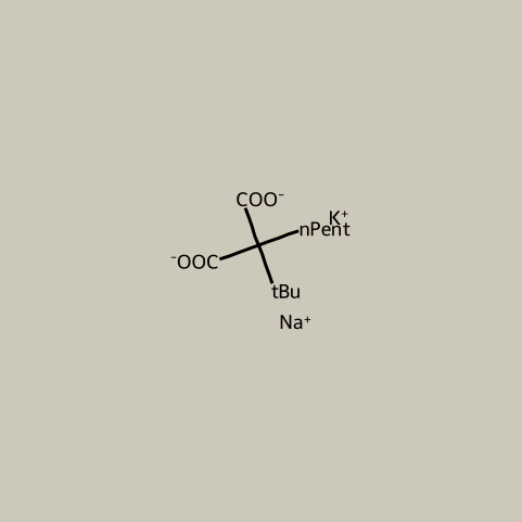 CCCCCC(C(=O)[O-])(C(=O)[O-])C(C)(C)C.[K+].[Na+]